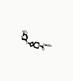 CC(C)(C)OC(=O)N1CCC2(CC1)CC(Oc1ccc([N+](=O)[O-])nc1)C2